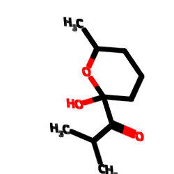 CC1CCCC(O)(C(=O)C(C)C)O1